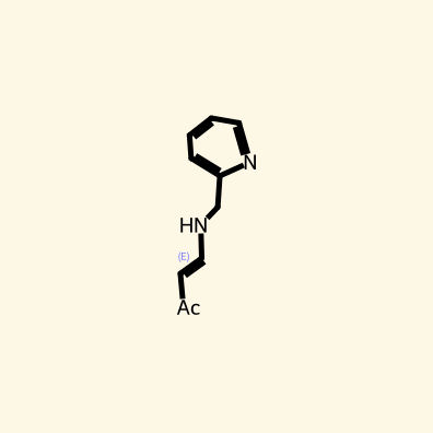 CC(=O)/C=C/NCc1ccccn1